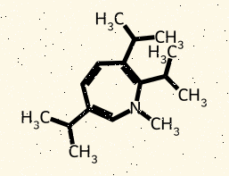 CC(C)C1=CN(C)C(C(C)C)=C(C(C)C)C=C1